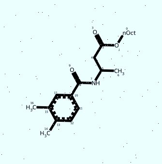 CCCCCCCCOC(=O)CC(C)NC(=O)c1ccc(C)c(C)c1